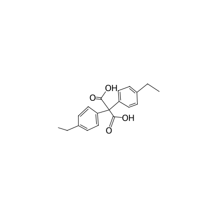 CCc1ccc(C(C(=O)O)(C(=O)O)c2ccc(CC)cc2)cc1